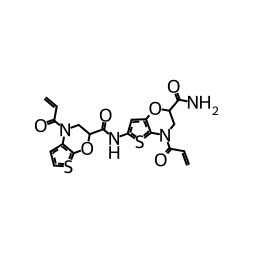 C=CC(=O)N1CC(C(=O)Nc2cc3c(s2)N(C(=O)C=C)CC(C(N)=O)O3)Oc2sccc21